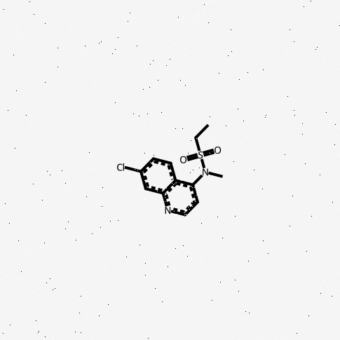 CCS(=O)(=O)N(C)c1ccnc2cc(Cl)ccc12